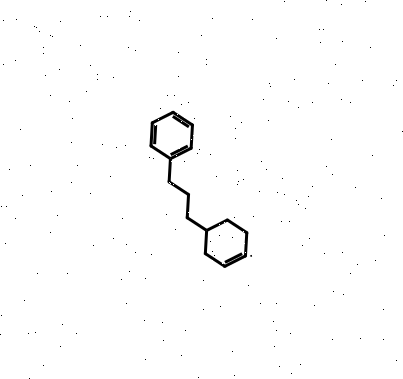 [C]1=CCC(CCCc2ccccc2)CC1